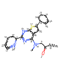 CNC(=O)CN(C)c1nc(-c2ccccn2)nc2sc(-c3ccccc3)cc12